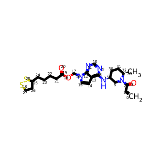 C=CC(=O)N1C[C@H](Nc2ncnc3c2ccn3COC(=O)CCCCC2CCSS2)CC[C@@H]1C